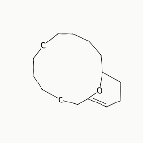 C1=C2CCCCCCCCCCC(CC1)O2